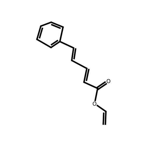 C=COC(=O)C=CC=Cc1ccccc1